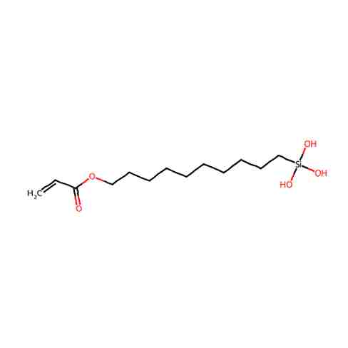 C=CC(=O)OCCCCCCCCCC[Si](O)(O)O